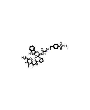 C[C@H](NC(=O)[C@H](C)NC(=O)[C@@H]1CCCN1C(=O)[C@H](Cc1c[nH]c2ccccc12)NC(=O)/C=N/OCc1ccc(S(N)(=O)=O)cc1)C(N)=O